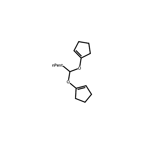 CCCCCC(OC1=CCCC1)OC1=CCCC1